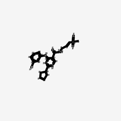 CS(=O)(=O)/C=C/CNC(=O)c1cnc(C2CCCC2)nc1Oc1cccc(Cl)c1